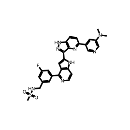 CN(C)c1cncc(-c2ccc3[nH]nc(-c4cc5c(-c6cc(F)cc(CNS(C)(=O)=O)c6)nccc5[nH]4)c3n2)c1